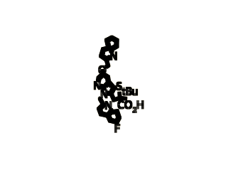 CC(C)(C)Sc1c(CC(C)(C)C(=O)O)n(Cc2ccc3cc(F)ccc3n2)c2ncc(OCc3ccc4ccccc4n3)cc12